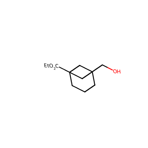 CCOC(=O)C12CCCC(CO)(C1)C2